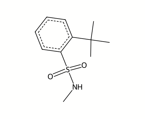 CNS(=O)(=O)c1ccccc1C(C)(C)C